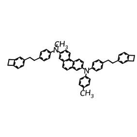 Cc1ccc(N(c2ccc(CCc3ccc4c(c3)CC4)cc2)c2ccc3c(ccc4cc(N(C)c5ccc(CCc6ccc7c(c6)CC7)cc5)ccc43)c2)cc1